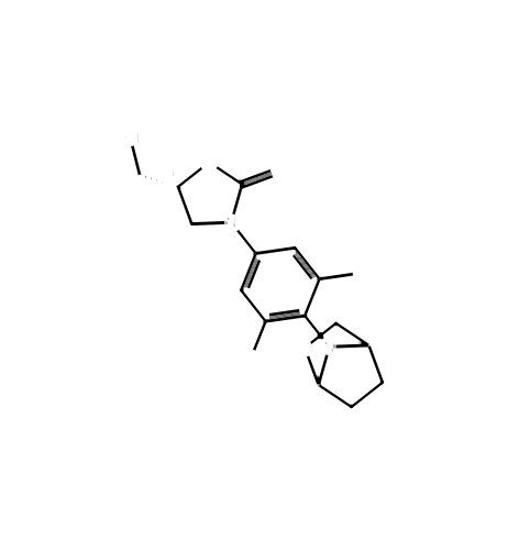 O=C1O[C@@H](CO)CN1c1cc(F)c(N2C3CCC2SC3)c(F)c1